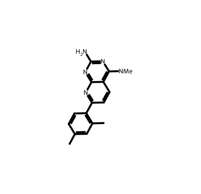 CNc1nc(N)nc2nc(-c3ccc(C)cc3C)ccc12